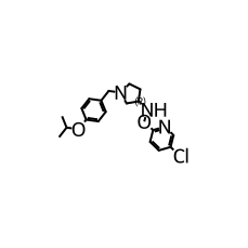 CC(C)Oc1ccc(CN2CC[C@@H](NOc3ccc(Cl)cn3)C2)cc1